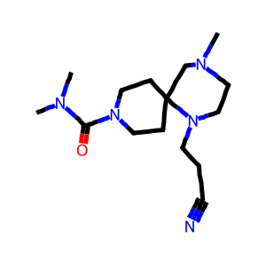 CN1CCN(CCC#N)C2(CCN(C(=O)N(C)C)CC2)C1